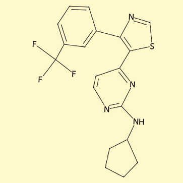 FC(F)(F)c1cccc(-c2ncsc2-c2ccnc(NC3CCCC3)n2)c1